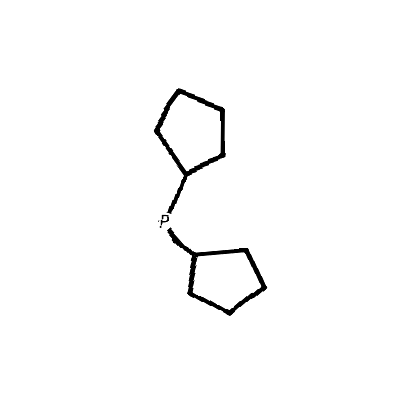 C1CCC([P]C2CCCC2)C1